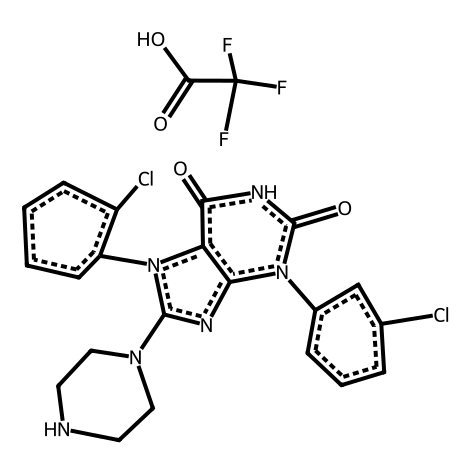 O=C(O)C(F)(F)F.O=c1[nH]c(=O)n(-c2cccc(Cl)c2)c2nc(N3CCNCC3)n(-c3ccccc3Cl)c12